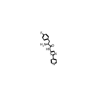 NC(Cc1ccc(F)cc1)C(=O)Nc1cnc(-c2ccncc2)s1